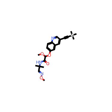 CON=CC(C)(C)NC(=O)C(OC)Oc1ccc2ncc(C#C[Si](C)(C)C)cc2c1